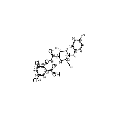 C[C@@H]1CN(Cc2ccc(F)cc2)[C@@H](C)CN1C(=O)COc1c(Cl)cc(Cl)cc1C(=O)O